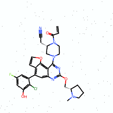 C=CC(=O)N1CCN(c2nc(OC[C@@H]3CCCN3C)nc3cc(-c4cc(F)cc(O)c4Cl)c4ccoc4c23)C[C@@H]1CC#N